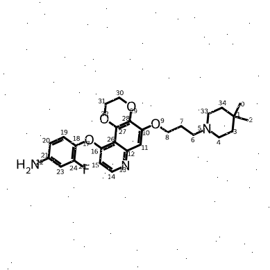 CC1(C)CCN(CCCOc2cc3nccc(Oc4ccc(N)cc4F)c3c3c2OCCO3)CC1